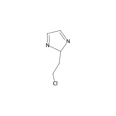 ClCCC1N=CC=N1